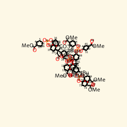 COC(=O)c1ccc(OP(Oc2ccc(C(=O)O)cc2)Oc2ccc(C(C)(CC(=O)OCCOC(=O)CC(C)(c3ccc(OP(Oc4ccc(C(=O)OC)cc4)Oc4ccc(C(=O)OC)cc4)c(C(C)(C)C)c3)c3ccc(OP(Oc4ccc(C(=O)OC)cc4)Oc4ccc(C(=O)OC)cc4)c(C(C)(C)C)c3)c3ccc(OP(Oc4ccc(C(=O)OC)cc4)Oc4ccc(C(=O)OC)cc4)c(C(C)(C)C)c3)cc2C(C)(C)C)cc1